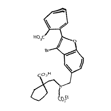 CCOC(=O)N(Cc1ccc2oc(-c3ccccc3C(=O)O)c(Br)c2c1)CC1(C(=O)O)CCCC1